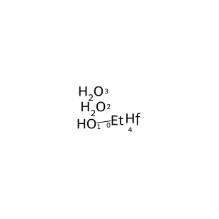 CCO.O.O.[Hf]